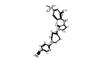 CS(=O)(=O)c1ccc(NC2CCN(C3CCN(c4ccc(C#N)cn4)CC3)C2=O)c(F)c1